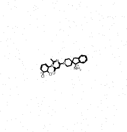 Cc1nc(N2CCC3(CC2)Cc2ccccc2[C@H]3N)cc(=O)n1C1=CC=C[C@H](Cl)C1Cl